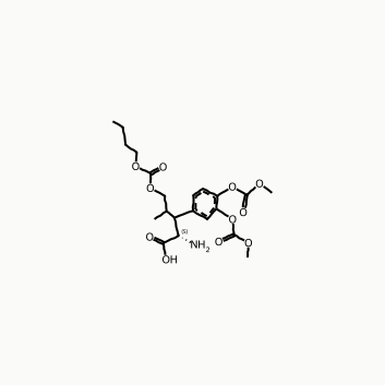 CCCCOC(=O)OCC(C)C(c1ccc(OC(=O)OC)c(OC(=O)OC)c1)[C@H](N)C(=O)O